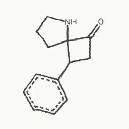 O=C1CC(c2ccccc2)C12CCCN2